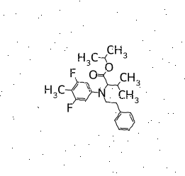 Cc1c(F)cc(N(CCc2ccccc2)C(C(=O)OC(C)C)C(C)C)cc1F